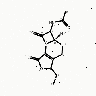 CCC1OC(=O)C2=C1CS[C@H]1C(NC(C)=O)C(=O)N21